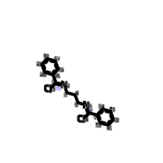 Cl/C(=N\CCC/N=C(\Cl)c1ccccc1)c1ccccc1